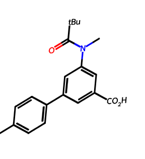 Cc1ccc(-c2cc(C(=O)O)cc(N(C)C(=O)C(C)(C)C)c2)cc1